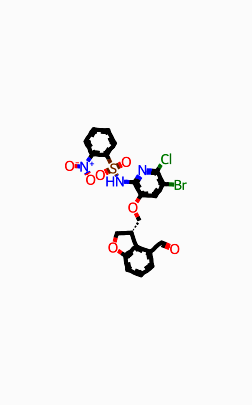 O=Cc1cccc2c1[C@@H](COc1cc(Br)c(Cl)nc1NS(=O)(=O)c1ccccc1[N+](=O)[O-])CO2